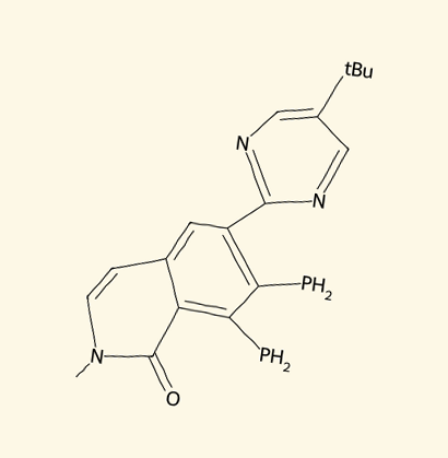 Cn1ccc2cc(-c3ncc(C(C)(C)C)cn3)c(P)c(P)c2c1=O